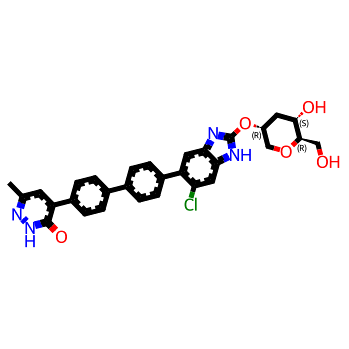 Cc1cc(-c2ccc(-c3ccc(-c4cc5nc(O[C@H]6CO[C@H](CO)[C@@H](O)C6)[nH]c5cc4Cl)cc3)cc2)c(=O)[nH]n1